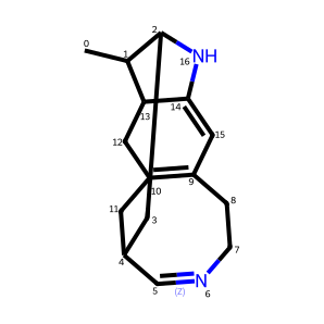 CC1C2CC3/C=N\CCC4=C(C3)CC1C(=C4)N2